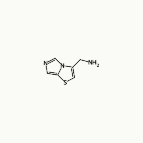 NCc1csc2cncn12